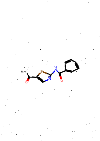 COC(=O)c1cnc(NC(=O)c2ccccc2)s1